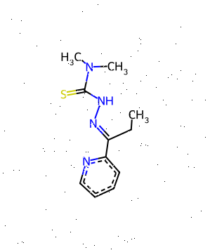 CCC(=NNC(=S)N(C)C)c1ccccn1